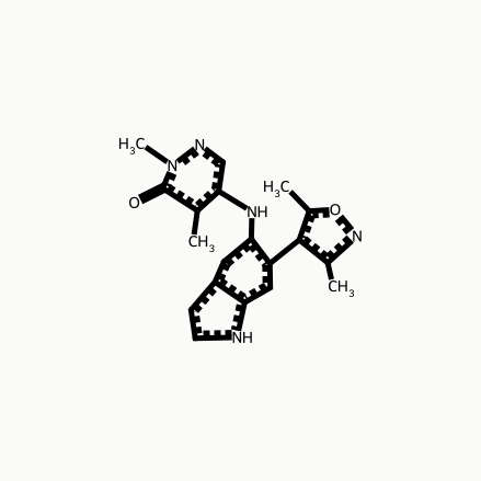 Cc1noc(C)c1-c1cc2[nH]ccc2cc1Nc1cnn(C)c(=O)c1C